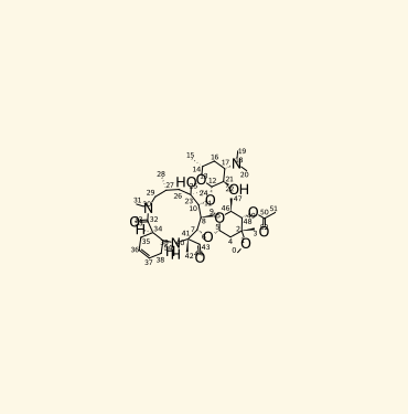 CO[C@]1(C)C[C@H](O[C@H]2[C@H](C)[C@@H](O[C@@H]3O[C@H](C)C[C@H](N(C)C)[C@H]3O)[C@](C)(O)C[C@@H](C)CN(C)C(=O)[C@@H]3CC=CC[C@@H]3N[C@@]2(C)C=O)O[C@@H](C)[C@@H]1OC(C)=O